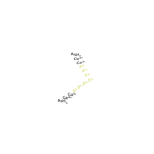 [AsH3].[AsH3].[Ga+3].[Ga+3].[Ge+4].[Ge+4].[S-2].[S-2].[S-2].[S-2].[S-2].[S-2].[S-2]